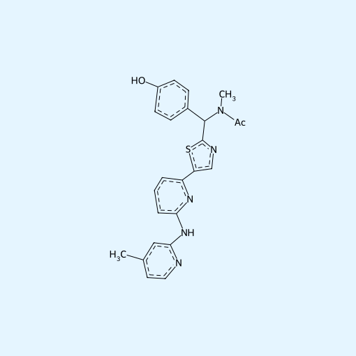 CC(=O)N(C)C(c1ccc(O)cc1)c1ncc(-c2cccc(Nc3cc(C)ccn3)n2)s1